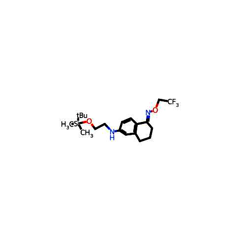 CC(C)(C)[Si](C)(C)OCCNc1ccc2c(c1)CCCC2=NOCC(F)(F)F